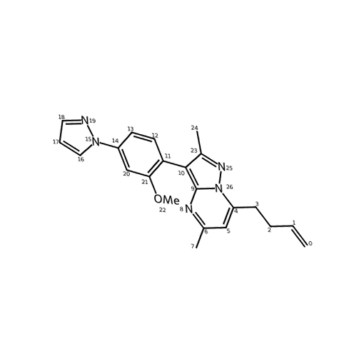 C=CCCc1cc(C)nc2c(-c3ccc(-n4cccn4)cc3OC)c(C)nn12